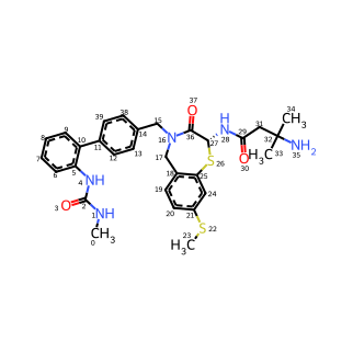 CNC(=O)Nc1ccccc1-c1ccc(CN2Cc3ccc(SC)cc3S[C@@H](NC(=O)CC(C)(C)N)C2=O)cc1